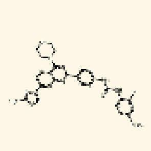 CC(=O)Nc1ccc(NC(=O)Nc2ccc(-c3nc(N4CCOCC4)c4ncc(-c5ccc(C)o5)cc4n3)cc2)c(F)c1